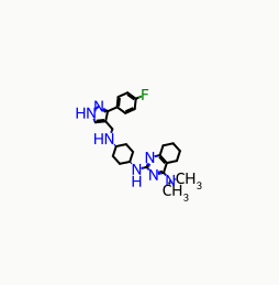 CN(C)c1nc(N[C@H]2CC[C@@H](NCc3c[nH]nc3-c3ccc(F)cc3)CC2)nc2c1CCCC2